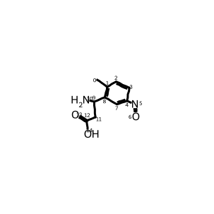 Cc1ccc(N=O)cc1C(N)CC(=O)O